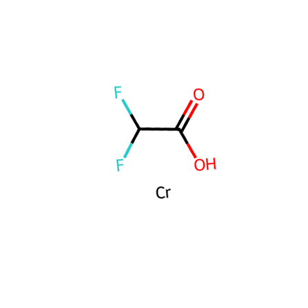 O=C(O)C(F)F.[Cr]